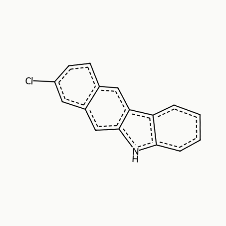 Clc1ccc2cc3c(cc2c1)[nH]c1ccccc13